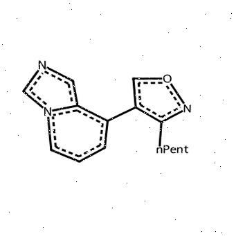 CCCCCc1nocc1-c1cccn2cncc12